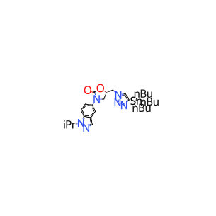 CCC[CH2][Sn]([CH2]CCC)([CH2]CCC)[c]1cn(C[C@H]2CN(c3ccc4c(cnn4C(C)C)c3)C(=O)O2)nn1